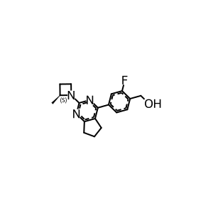 C[C@H]1CCN1c1nc2c(c(-c3ccc(CO)c(F)c3)n1)CCC2